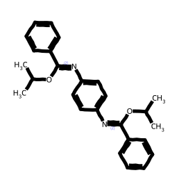 CC(C)O/C(=N\c1ccc(/N=C(\OC(C)C)c2ccccc2)cc1)c1ccccc1